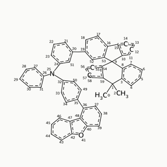 CC1(C)c2ccccc2C2(c3ccccc3-c3ccc(-c4cccc(N(c5ccccc5)c5ccc(-c6cccc7oc8ccccc8c67)cc5)c4)cc32)c2ccccc21